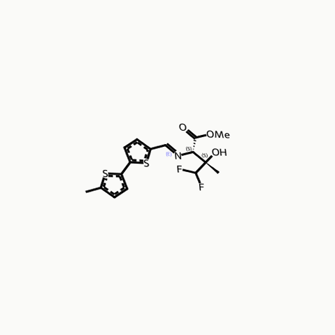 COC(=O)[C@@H](/N=C/c1ccc(-c2ccc(C)s2)s1)[C@](C)(O)C(F)F